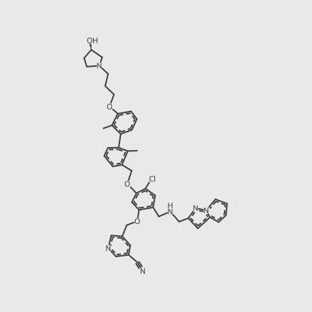 Cc1c(COc2cc(OCc3cncc(C#N)c3)c(CNCc3cc4ccccn4n3)cc2Cl)cccc1-c1cccc(OCCCN2CC[C@@H](O)C2)c1C